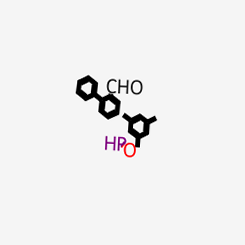 Cc1cc(C)cc(C)c1.O=Cc1ccccc1-c1ccccc1.O=P